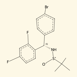 CC(C)(C)[S+]([O-])N[C@@H](c1ccc(Br)cc1)c1ccc(F)cc1F